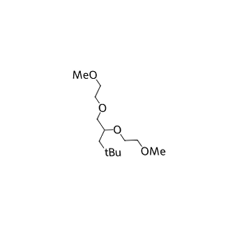 COCCOCC(CC(C)(C)C)OCCOC